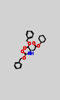 O=C(CC(NC(=O)OCc1ccccc1)C(=O)OCc1ccccc1)OC1CCCCC1